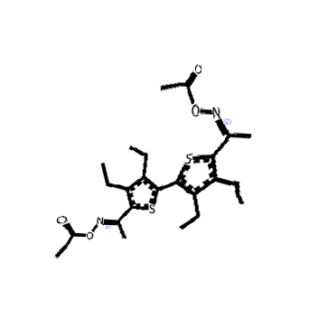 CCc1c(/C(C)=N\OC(C)=O)sc(-c2sc(/C(C)=N/OC(C)=O)c(CC)c2CC)c1CC